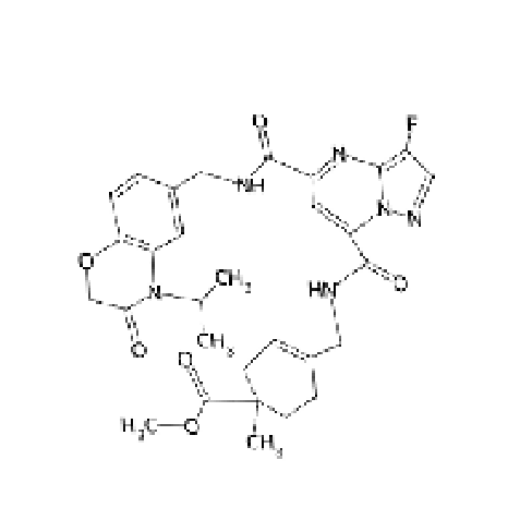 COC(=O)C1(C)CC=C(CNC(=O)c2cc(C(=O)NCc3ccc4c(c3)N(C(C)C)C(=O)CO4)nc3c(F)cnn23)CC1